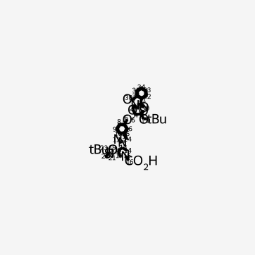 CC(C)(C)OC(=O)[C@H](COc1ccc2nn(C3CN(C(=O)O)CC3O[Si](C)(C)C(C)(C)C)cc2c1)ON1C(=O)c2ccccc2C1=O